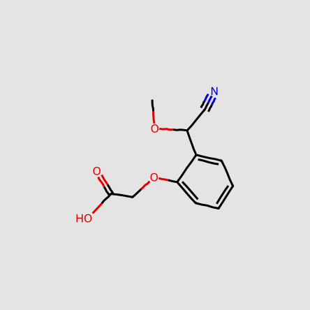 COC(C#N)c1ccccc1OCC(=O)O